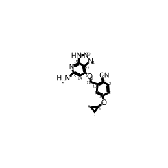 N#Cc1ccc(OC2CC2)cc1COc1cc(N)nc2[nH]nnc12